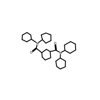 O=C(C1CCCC(C(=O)N(C2CCCCC2)C2CCCCC2)C1)N(C1CCCCC1)C1CCCCC1